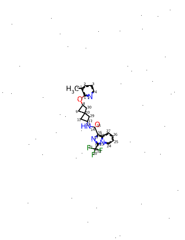 Cc1cccnc1OC1CC2(CC(NC(=O)c3nc(C(F)(F)F)n4ccccc34)C2)C1